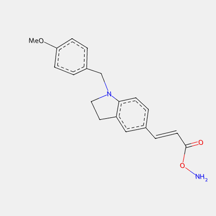 COc1ccc(CN2CCc3cc(/C=C/C(=O)ON)ccc32)cc1